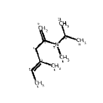 C=C(C/C(C)=C/C)N(C)C(C)C